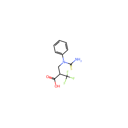 NC(=S)N(CC(C(=O)O)C(F)(F)F)c1ccccc1